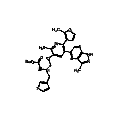 Cc1occc1-c1nc(N)c(OC[C@H](Cc2ccsc2)NC(=O)OCC(C)C)cc1-c1cnc2[nH]nc(C)c2n1